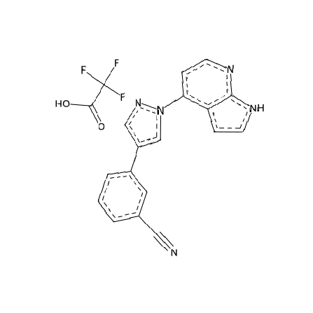 N#Cc1cccc(-c2cnn(-c3ccnc4[nH]ccc34)c2)c1.O=C(O)C(F)(F)F